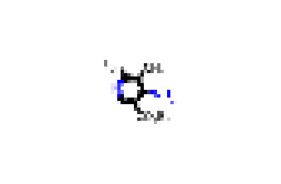 CCOC(=O)c1cnc(C(F)(F)F)c(C)c1N